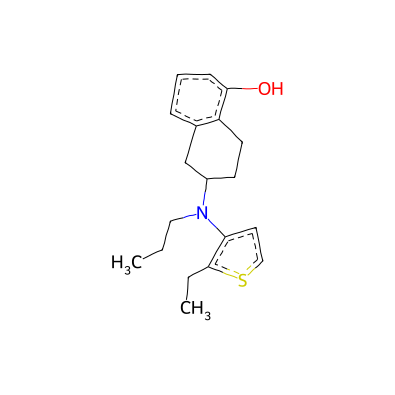 CCCN(c1ccsc1CC)C1CCc2c(O)cccc2C1